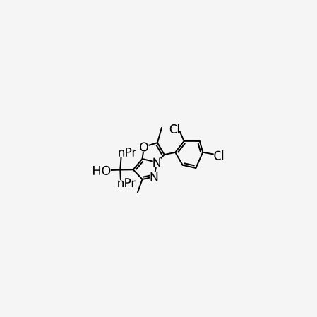 CCCC(O)(CCC)c1c(C)nn2c(-c3ccc(Cl)cc3Cl)c(C)oc12